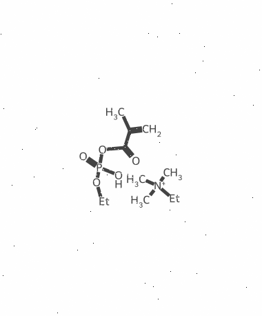 C=C(C)C(=O)OP(=O)(O)OCC.CC[N+](C)(C)C